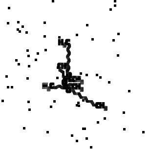 CCCCCCCCC[O][Sn]([CH2]C)([CH2]CCC)[O][Sn]([CH2]C)([CH2]CCC)[O]CCCCCCCCC